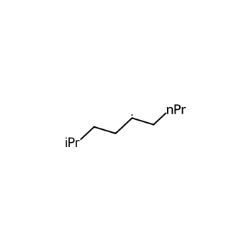 CCCC[CH]CCC(C)C